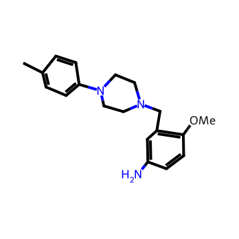 COc1ccc(N)cc1CN1CCN(c2ccc(C)cc2)CC1